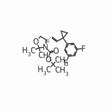 CC(C)(C)OC(=O)N1[C@@H](C=CC2(c3cc(F)cc(F)c3)CC2)COC1(C)C